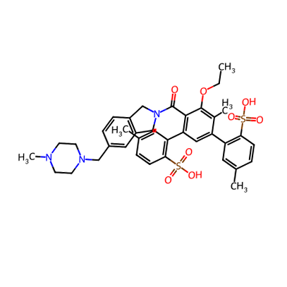 CCOc1c(C)c(-c2cc(C)ccc2S(=O)(=O)O)cc(-c2cc(C)ccc2S(=O)(=O)O)c1C(=O)N1Cc2ccc(CN3CCN(C)CC3)cc2C1